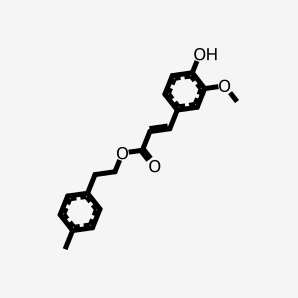 COc1cc(/C=C/C(=O)OCCc2ccc(C)cc2)ccc1O